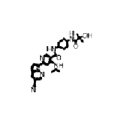 CC(C)Nc1cc(-c2ccc3cc(C#N)cnn23)ncc1C(=O)NC1CCC(NC(=O)C(C)(C)O)CC1